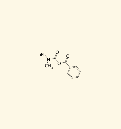 CC(C)N(C)C(=O)OC(=O)c1ccccc1